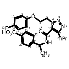 CCCc1nnn(CCOc2ccc(F)cc2)c1C(=O)NC(C)c1ccc(C(=O)O)cc1